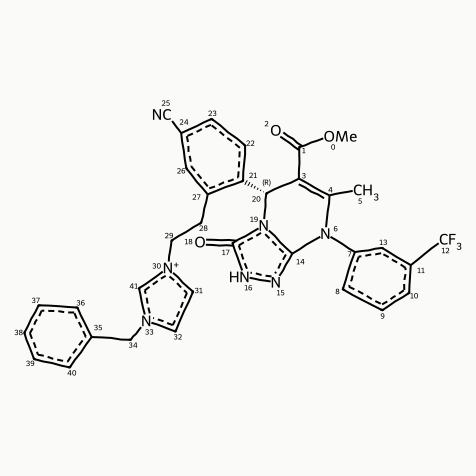 COC(=O)C1=C(C)N(c2cccc(C(F)(F)F)c2)c2n[nH]c(=O)n2[C@@H]1c1ccc(C#N)cc1CC[n+]1ccn(Cc2ccccc2)c1